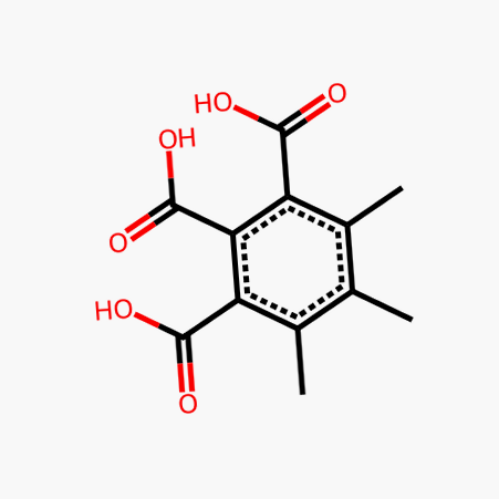 Cc1c(C)c(C(=O)O)c(C(=O)O)c(C(=O)O)c1C